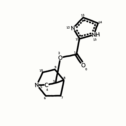 O=C(OC1CN2CCC1CC2)c1ncc[nH]1